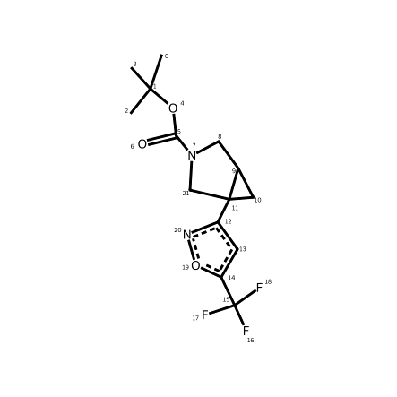 CC(C)(C)OC(=O)N1CC2CC2(c2cc(C(F)(F)F)on2)C1